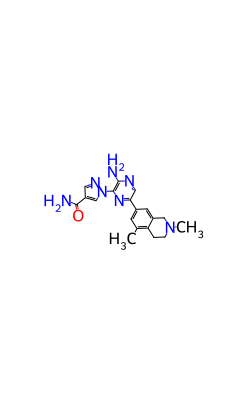 Cc1cc(-c2cnc(N)c(-n3cc(C(N)=O)cn3)n2)cc2c1CCN(C)C2